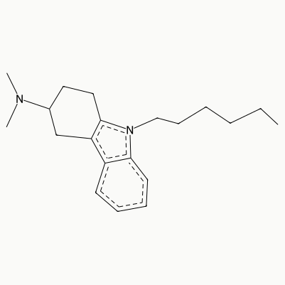 CCCCCCn1c2c(c3ccccc31)CC(N(C)C)CC2